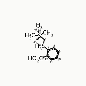 C[SH](C)(C)(C)CSc1ccccc1C(=O)O